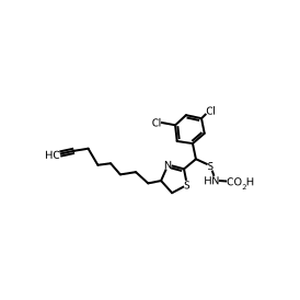 C#CCCCCCCC1CSC(C(SNC(=O)O)c2cc(Cl)cc(Cl)c2)=N1